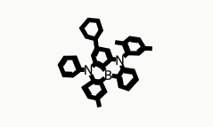 Cc1ccc2c(c1)B1c3ccccc3N(c3cc(C)ccc3C)c3cc(C4CCCCC4)cc(c31)N2c1ccccc1